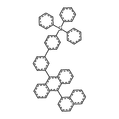 c1ccc([Si](c2ccccc2)(c2ccccc2)c2ccc(-c3cccc(-c4c5ccccc5c(-c5cccc6ccccc56)c5ccccc45)c3)cc2)cc1